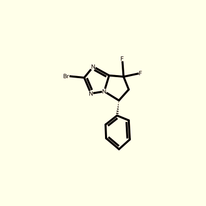 FC1(F)C[C@H](c2ccccc2)n2nc(Br)nc21